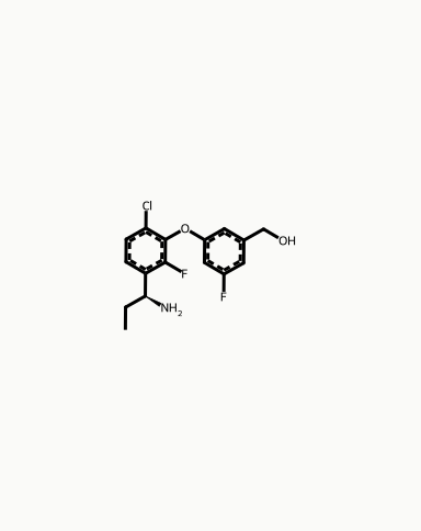 CC[C@H](N)c1ccc(Cl)c(Oc2cc(F)cc(CO)c2)c1F